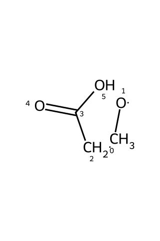 C[O].[CH2]C(=O)O